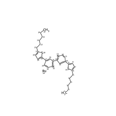 CCCCCCc1ccc(-c2ccnc(-c3cc(-c4ccc(CCCCCC)s4)ccn3)c2)s1.[Ru]